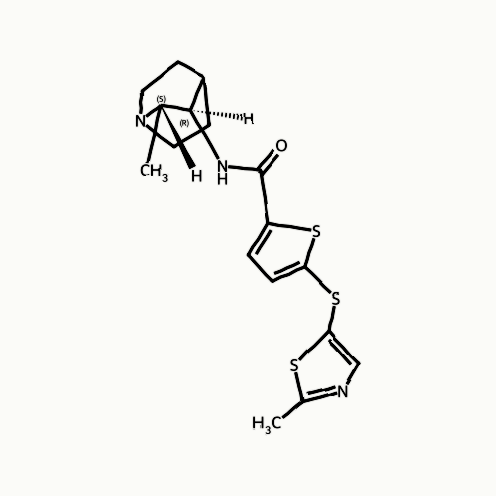 Cc1ncc(Sc2ccc(C(=O)N[C@@H]3C4CCN(CC4)[C@H]3C)s2)s1